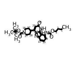 CCCCOC(=O)Nc1cccc2nn3c(C4CCN(C(=O)OC(C)(C)C)CC4)cc(=O)[nH]c3c12